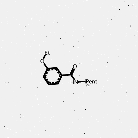 CCC[C@H](C)NC(=O)c1cccc(OCC)c1